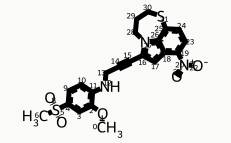 COc1cc(S(C)(=O)=O)ccc1NCC#Cc1cc2c([N+](=O)[O-])ccc3c2n1CCCS3